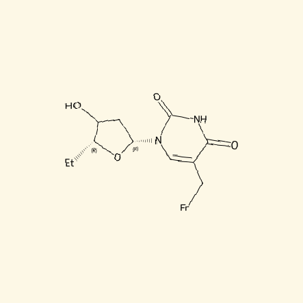 CC[C@H]1O[C@@H](n2cc([CH2][Fr])c(=O)[nH]c2=O)CC1O